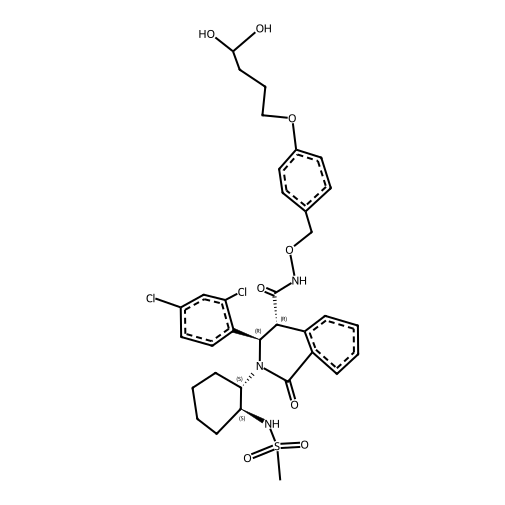 CS(=O)(=O)N[C@H]1CCCC[C@@H]1N1C(=O)c2ccccc2[C@@H](C(=O)NOCc2ccc(OCCCC(O)O)cc2)[C@@H]1c1ccc(Cl)cc1Cl